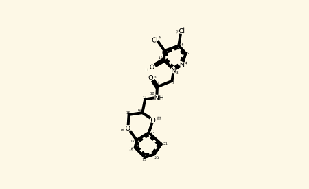 O=C(Cn1ncc(Cl)c(Cl)c1=O)NCC1COc2ccccc2O1